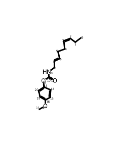 CC/C=C\CC/C=C/CNC(=O)Oc1ccc(OC)cc1